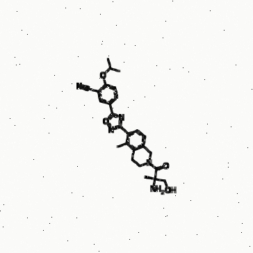 Cc1c(-c2noc(-c3ccc(OC(C)C)c(C#N)c3)n2)ccc2c1CCN(C(=O)[C@@](C)(N)CO)C2